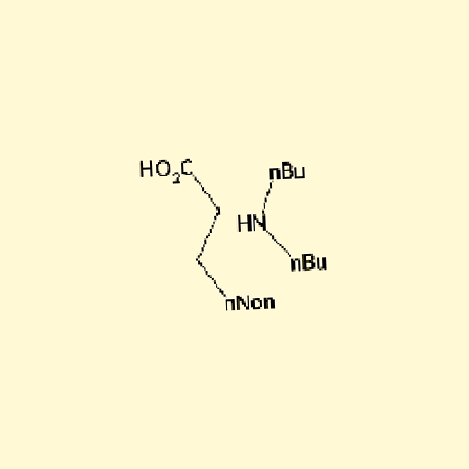 CCCCCCCCCCCC(=O)O.CCCCNCCCC